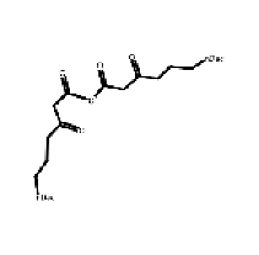 CCCCCCCCCCCCCC(=O)CC(=O)OC(=O)CC(=O)CCCCCCCCCCCCC